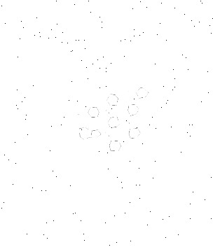 CC(C)(C)c1ccc(N2c3ccc(C(C)(C)C)cc3B3c4c2cc(N(c2ccccc2)c2ccc(-c5ccccc5)cc2)cc4N(c2ccc(C(C)(C)C)cc2)c2oc4ccc(C(C)(C)C)cc4c23)cc1